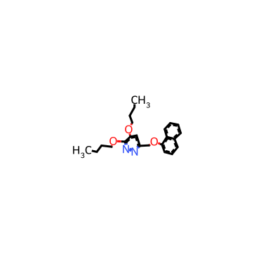 CCCCOc1cc(COc2cccc3ccccc23)nnc1OCCCC